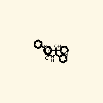 O=S(=O)(CCc1ccccc1)N[C@H](c1ccccc1)C(O)(c1cccnc1)c1cccnc1